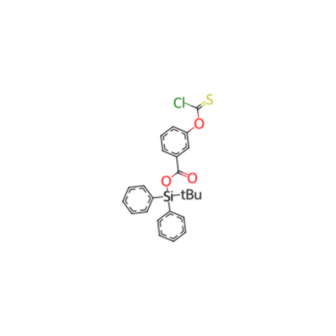 CC(C)(C)[Si](OC(=O)c1cccc(OC(=S)Cl)c1)(c1ccccc1)c1ccccc1